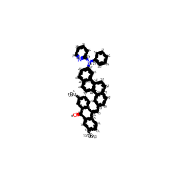 CC(C)(C)c1ccc2c(c1)C(=O)c1cc(C(C)(C)C)ccc1C2=Cc1ccc2ccc3c4cc(N(c5ccccc5)c5ccccn5)ccc4ccc3c2c1